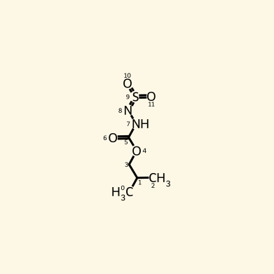 CC(C)COC(=O)NN=S(=O)=O